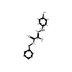 O=C(OCc1ccccc1)/C(Cl)=N/Nc1ccc(I)cc1